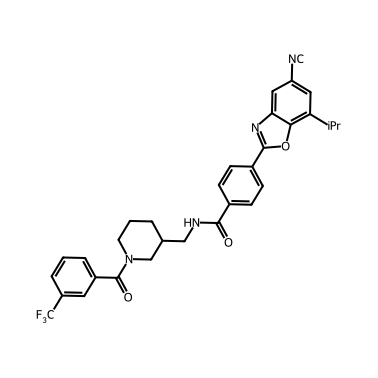 [C-]#[N+]c1cc(C(C)C)c2oc(-c3ccc(C(=O)NCC4CCCN(C(=O)c5cccc(C(F)(F)F)c5)C4)cc3)nc2c1